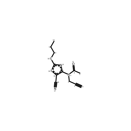 C#CCN(C(C)=O)c1nc(SCCC)sc1C#N